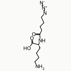 [N-]=[N+]=NCCCCC(=O)N[C@@H](CCCCN)C(=O)O